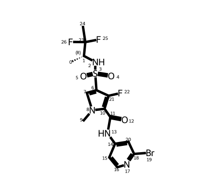 C[C@@H](NS(=O)(=O)c1cn(C)c(C(=O)Nc2ccnc(Br)c2)c1F)C(C)(F)F